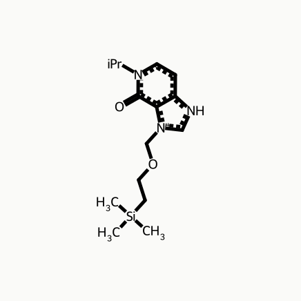 CC(C)n1ccc2[nH]c[n+](COCC[Si](C)(C)C)c2c1=O